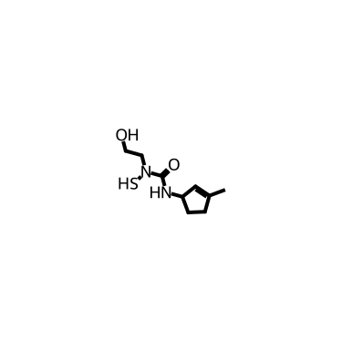 CC1=CC(NC(=O)N(S)CCO)CC1